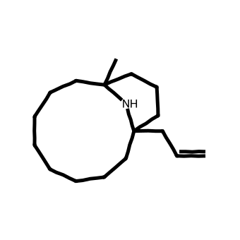 C=CCC12CCCCCCCCC(C)(CCC1)N2